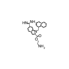 N=C(N)c1ccc2cc(C(=O)OCCN)n(Cc3cccc4ccccc34)c2c1